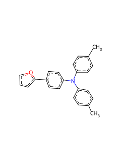 Cc1ccc(N(c2ccc(C)cc2)c2ccc(-c3ccco3)cc2)cc1